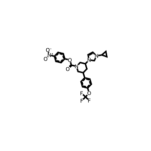 O=C(Oc1ccc([N+](=O)[O-])cc1)N1CC(c2ccc(OC(F)(F)F)cc2)CC(N2C=CN(C3CC3)C2)C1